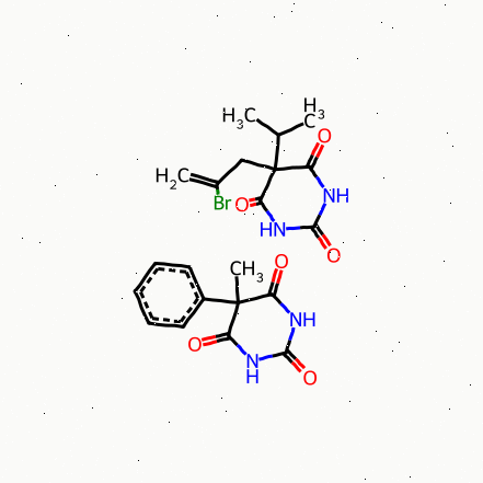 C=C(Br)CC1(C(C)C)C(=O)NC(=O)NC1=O.CC1(c2ccccc2)C(=O)NC(=O)NC1=O